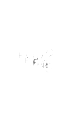 C=CC(=O)Oc1cc2ccccc2cc1C(=O)OC(C(F)(F)F)C(F)(F)S(=O)(=O)O